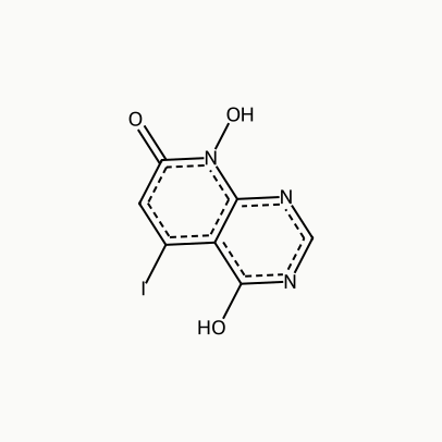 O=c1cc(I)c2c(O)ncnc2n1O